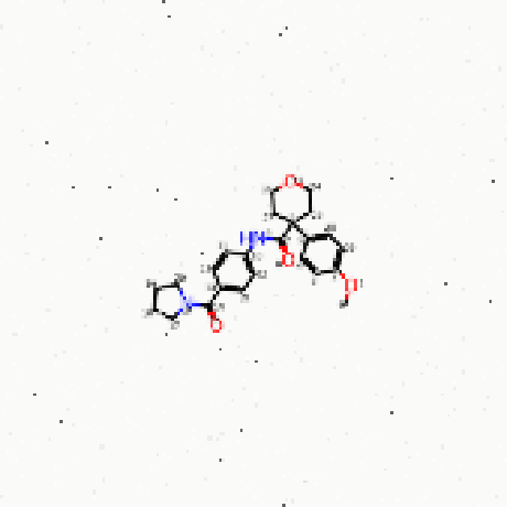 COc1ccc(C2(C(=O)Nc3ccc(C(=O)N4CCCC4)cc3)CCOCC2)cc1